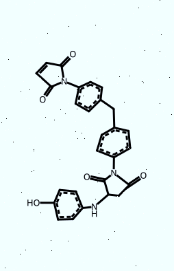 O=C1C=CC(=O)N1c1ccc(Cc2ccc(N3C(=O)CC(Nc4ccc(O)cc4)C3=O)cc2)cc1